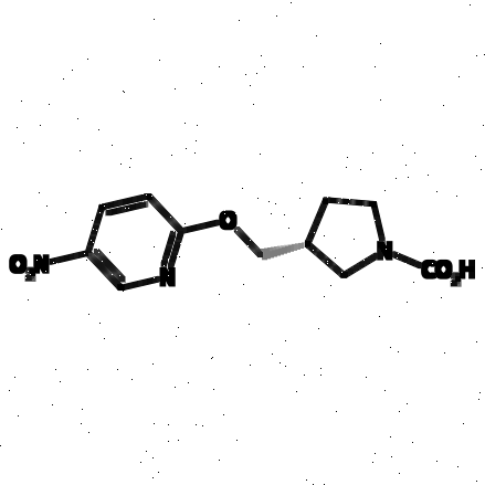 O=C(O)N1CC[C@@H](COc2ccc([N+](=O)[O-])cn2)C1